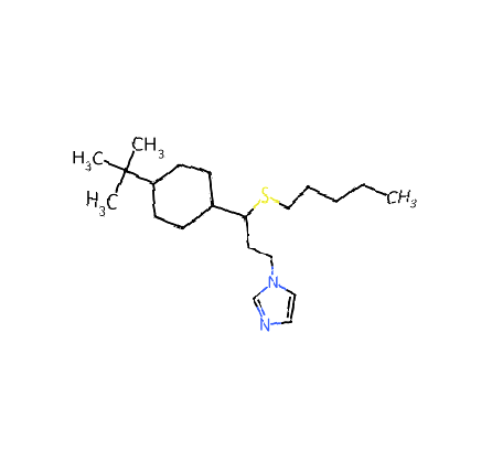 CCCCCSC(CCn1ccnc1)C1CCC(C(C)(C)C)CC1